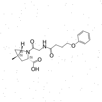 C[C@@]12C[C@@H]1N(C(=O)CNC(=O)CCCOc1ccccc1)[C@H](C(=O)O)C2